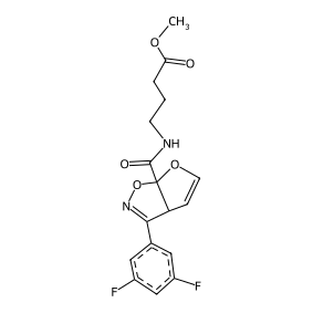 COC(=O)CCCNC(=O)C12OC=CC1C(c1cc(F)cc(F)c1)=NO2